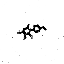 C=Cc1ccc(-n2c(C)cc(O)c(Br)c2=O)cc1